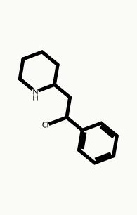 ClC(CC1CCCCN1)c1ccccc1